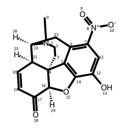 CN1CC[C@]23c4c5c([N+](=O)[O-])cc(O)c4O[C@H]2C(=O)C=C[C@H]3[C@H]1C5